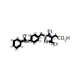 C=C(CC)/C(CC(=O)O)=C(/CC)N(N)Cc1ccc(NC(=O)c2ccccc2)cc1